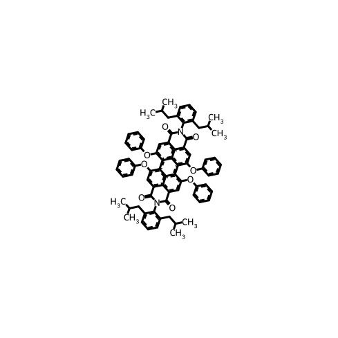 CC(C)Cc1cccc(CC(C)C)c1N1C(=O)c2cc(Oc3ccccc3)c3c4c(Oc5ccccc5)cc5c6c(cc(Oc7ccccc7)c(c7c(Oc8ccccc8)cc(c2c37)C1=O)c64)C(=O)N(c1c(CC(C)C)cccc1CC(C)C)C5=O